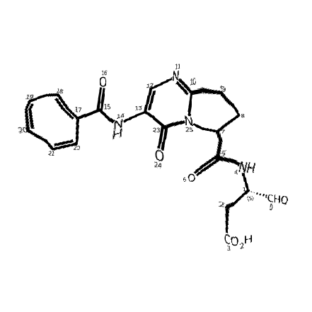 O=C[C@H](CC(=O)O)NC(=O)C1CCc2ncc(NC(=O)c3ccccc3)c(=O)n21